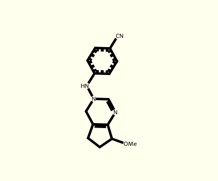 COC1CCC2=C1N=CN(Nc1ccc(C#N)cc1)C2